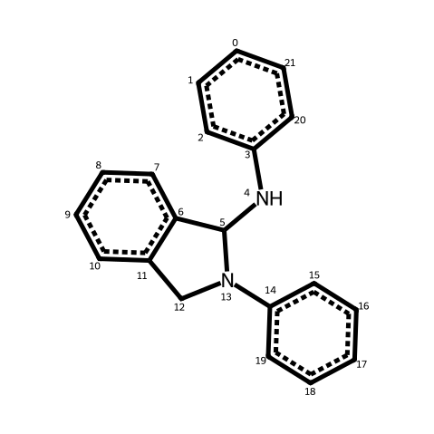 c1ccc(NC2c3ccccc3CN2c2ccccc2)cc1